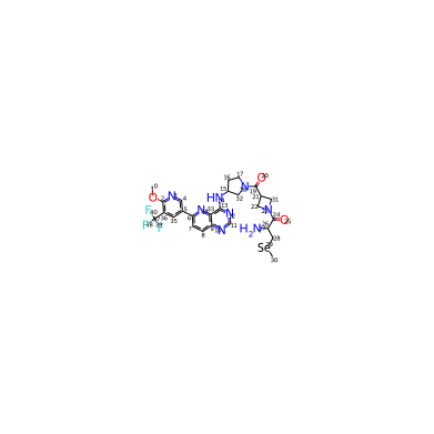 COc1ncc(-c2ccc3ncnc(NC4CCN(C(=O)C5CN(C(=O)C(N)C[Se]C)C5)C4)c3n2)cc1C(F)(F)F